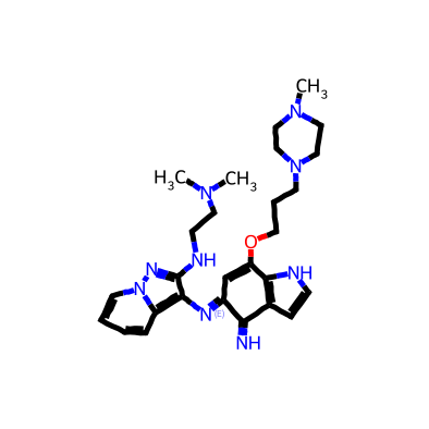 CN(C)CCNc1nn2ccccc2c1/N=C1\C=C(OCCCN2CCN(C)CC2)c2[nH]ccc2C1=N